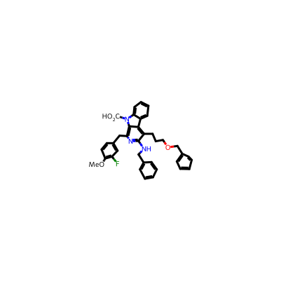 COc1ccc(Cc2nc(NCc3ccccc3)c(CCCOCc3ccccc3)c3c4ccccc4n(C(=O)O)c23)cc1F